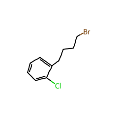 Clc1ccccc1CCCCBr